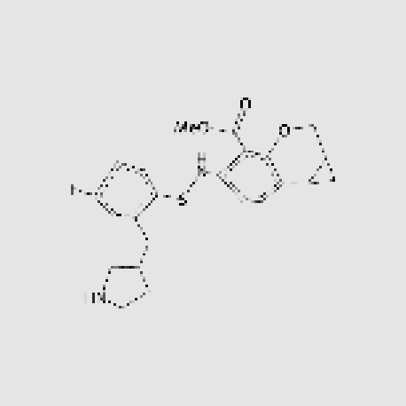 COC(=O)c1c(NSc2ccc(F)cc2CC2CCNC2)ccc2c1OCC1CC21